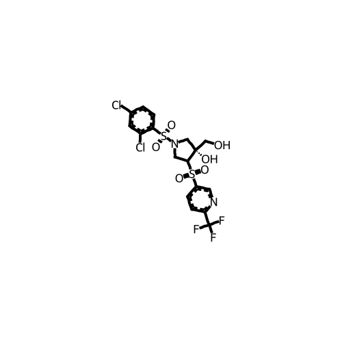 O=S(=O)(c1ccc(C(F)(F)F)nc1)C1CN(S(=O)(=O)c2ccc(Cl)cc2Cl)C[C@@]1(O)CO